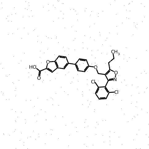 CCCc1onc(-c2c(Cl)cccc2Cl)c1COc1ccc(-c2ccc3oc(C(=O)O)cc3c2)cc1